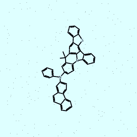 CC1(C)c2cc(N(c3ccccc3)c3ccc4c(ccc5ccccc54)c3)ccc2-n2c3ccccc3c3c4sc5ccccc5c4cc1c32